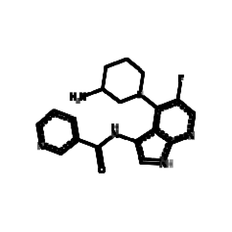 NC1CCCN(c2c(F)cnc3[nH]cc(NC(=O)c4cccnc4)c23)C1